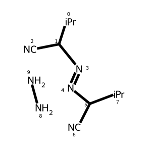 CC(C)C(C#N)N=NC(C#N)C(C)C.NN